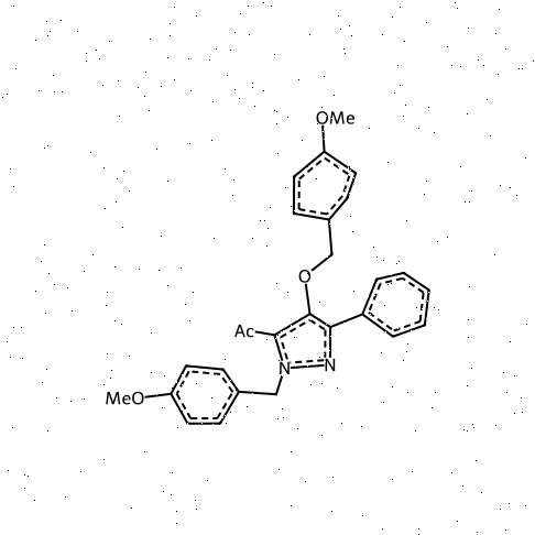 COc1ccc(COc2c(-c3ccccc3)nn(Cc3ccc(OC)cc3)c2C(C)=O)cc1